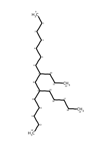 CCCCCCCC([CH]C(CCCCC)CCCCC)CCC